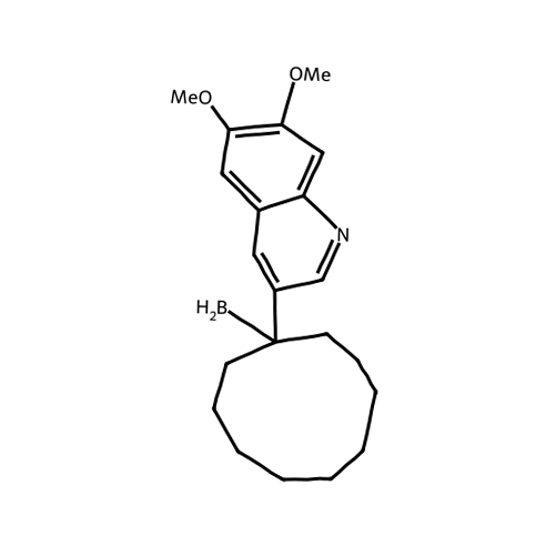 BC1(c2cnc3cc(OC)c(OC)cc3c2)CCCCCCCCC1